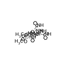 COC(=O)C(C[C@H](NC(=O)[C@@H](Cc1ccccc1)NC(=O)[C@@H](Cc1c[nH]c2ccccc12)NC(=O)[C@H](N)Cc1c[nH]c2ccccc12)C(N)=O)C(=O)OC